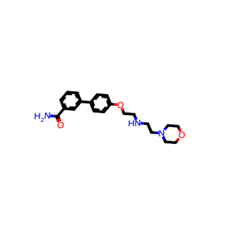 NC(=O)c1cccc(-c2ccc(OCCNCCN3CCOCC3)cc2)c1